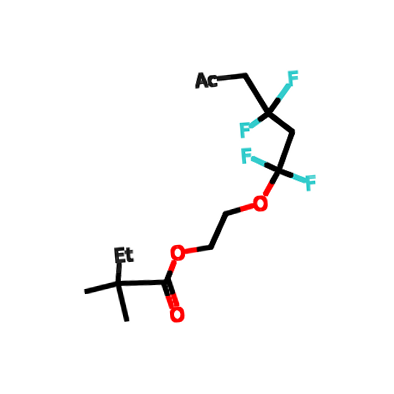 CCC(C)(C)C(=O)OCCOC(F)(F)CC(F)(F)CC(C)=O